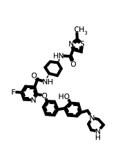 Cc1nc(C(=O)N[C@H]2CC[C@@H](NC(=O)c3cc(F)cnc3Oc3cccc(-c4ccc(CN5CCNCC5)cc4O)c3)CC2)cs1